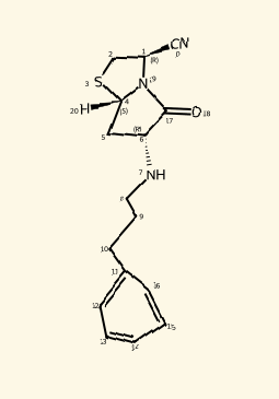 N#C[C@@H]1CS[C@H]2C[C@@H](NCCCc3ccccc3)C(=O)N12